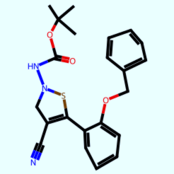 CC(C)(C)OC(=O)NN1CC(C#N)=C(c2ccccc2OCc2ccccc2)S1